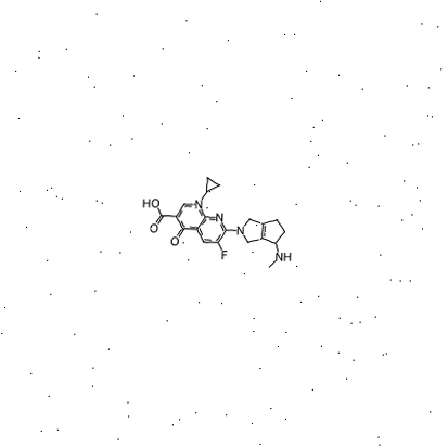 CNC1CCC2=C1CN(c1nc3c(cc1F)c(=O)c(C(=O)O)cn3C1CC1)C2